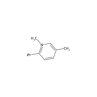 Cc1ccc(C(C)C)[n+](C)c1